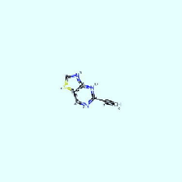 C#Cc1ncc2s[c]nc2n1